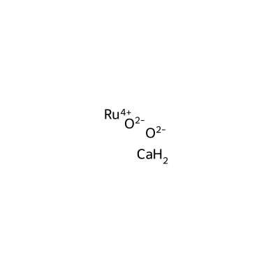 [CaH2].[O-2].[O-2].[Ru+4]